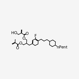 C=C(C)C(=O)OCC(COC(=O)C(=C)CO)CC1=CC(F)=C(CCCC2CCC(CCCCC)CC2)CC1